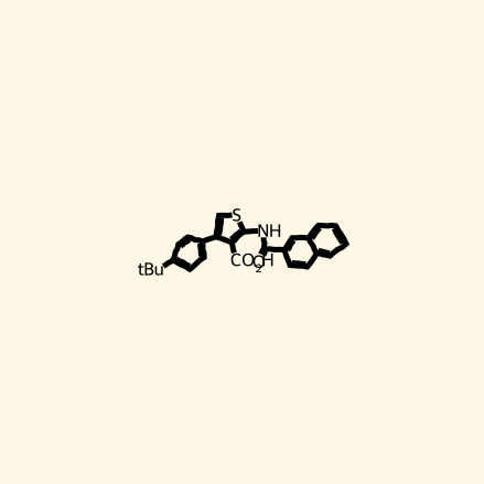 CC(C)(C)c1ccc(-c2csc(NC(=O)c3ccc4ccccc4c3)c2C(=O)O)cc1